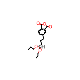 CCCO[SiH](CCCc1ccc2c(c1)C(=O)OC2=O)OCCC